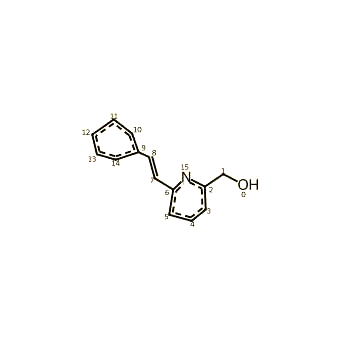 OCc1cccc(/C=C/c2ccccc2)n1